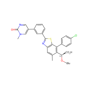 Cc1cc2nc(-c3cccc(-c4cnc(=O)n(C)c4)c3)sc2c(-c2ccc(Cl)cc2)c1[C@H](OC(C)(C)C)C(=O)O